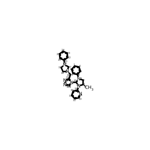 C[C@@H]1CN(c2ccccc2)C(n2nnnc2CN2CCN(c3ccccc3)C2)N1c1ccccn1